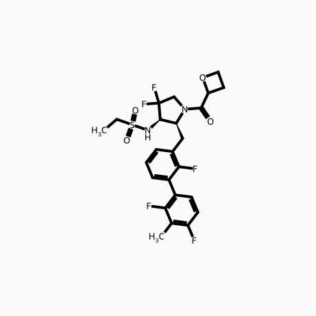 CCS(=O)(=O)N[C@@H]1[C@H](Cc2cccc(-c3ccc(F)c(C)c3F)c2F)N(C(=O)C2CCO2)CC1(F)F